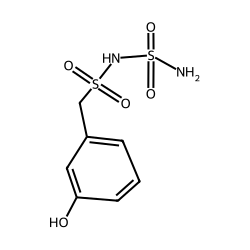 NS(=O)(=O)NS(=O)(=O)Cc1cccc(O)c1